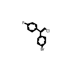 Fc1ccc(C(=CCl)c2ccc(Br)cc2)cc1